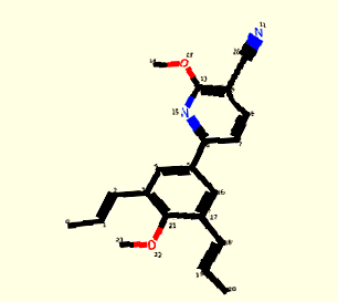 C/C=C/c1cc(-c2ccc(C#N)c(OC)n2)cc(/C=C/C)c1OC